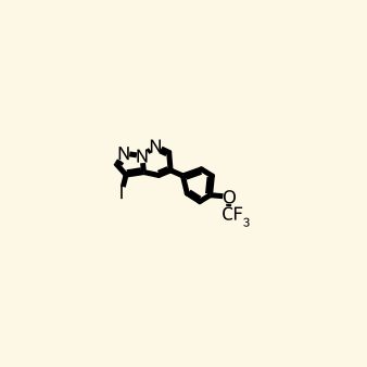 FC(F)(F)Oc1ccc(-c2cnn3ncc(I)c3c2)cc1